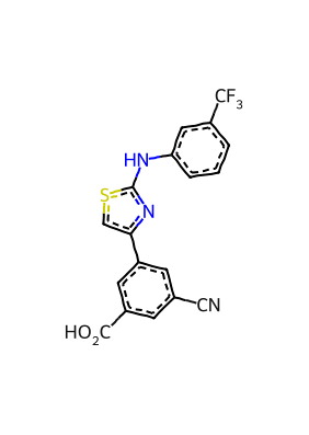 N#Cc1cc(C(=O)O)cc(-c2csc(Nc3cccc(C(F)(F)F)c3)n2)c1